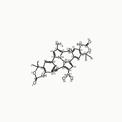 CC1(C)OC(=O)Nc2ccc(-c3cc(N)c(C#N)n3-n3c(-c4ccc5c(c4)C(C)(C)OC(=O)N5)cc([N+](=O)[O-])c3C#N)cc21